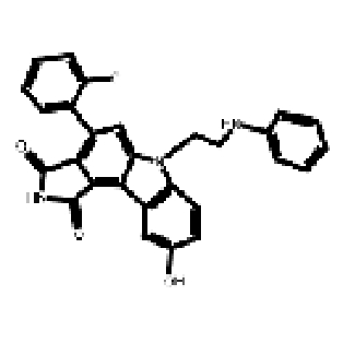 O=C1NC(=O)c2c1c(-c1ccccc1Cl)cc1c2c2cc(O)ccc2n1CCNc1ccccc1